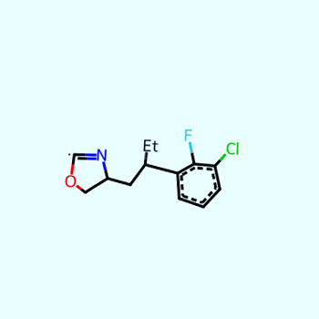 CCC(CC1CO[C]=N1)c1cccc(Cl)c1F